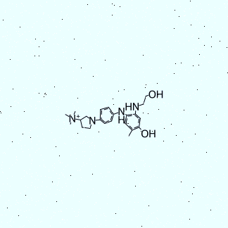 Cc1cc(Nc2ccc(N3CCC([N+](C)(C)C)C3)cc2)c(NCCO)cc1O